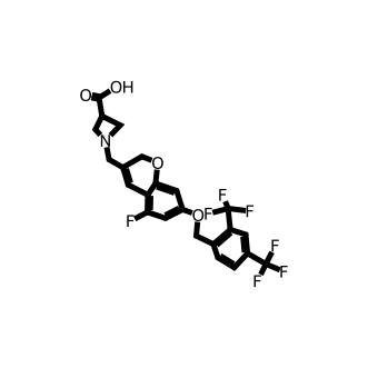 O=C(O)C1CN(CC2=Cc3c(F)cc(OCc4ccc(C(F)(F)F)cc4C(F)(F)F)cc3OC2)C1